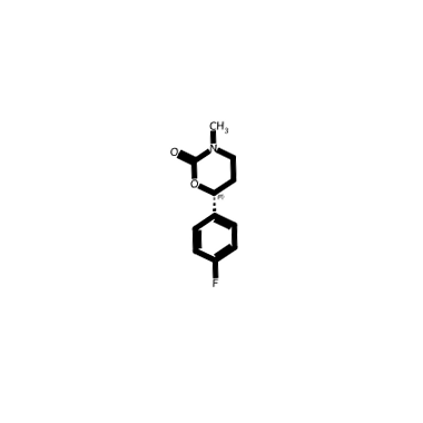 CN1CC[C@H](c2ccc(F)cc2)OC1=O